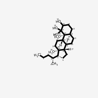 CCC[C@@H](C)[C@H]1CC[C@H]2[C@@H]3CCC4CCC(O)C(O)(O)[C@]4(C)[C@H]3CC[C@]12C